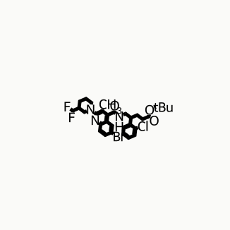 Cc1c(N2CCCC(C(F)F)C2)nc2ccc(Br)cc2c1C(=O)NCC(CCC(=O)OC(C)(C)C)c1ccccc1Cl